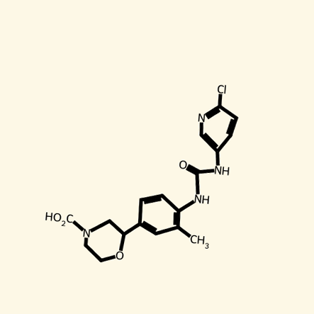 Cc1cc(C2CN(C(=O)O)CCO2)ccc1NC(=O)Nc1ccc(Cl)nc1